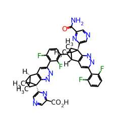 CC1(C)[C@@H]2c3cc(-c4c(F)cccc4F)nnc3[C@@]1(c1cncc(C(N)=O)n1)CC2c1ccc(F)c(-c2cc3c(nn2)[C@@]2(c4cncc(C(=O)O)n4)CC[C@@H]3C2(C)C)c1F